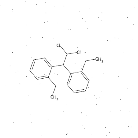 CCc1ccccc1C(c1ccccc1CC)C(Cl)Cl